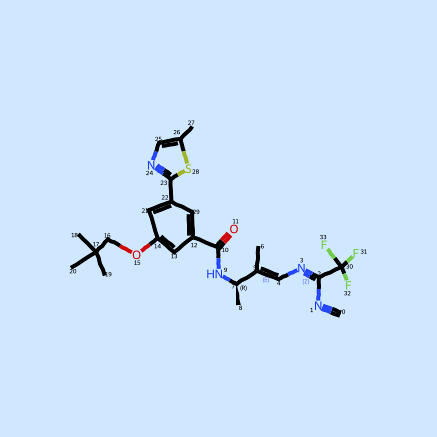 C=N/C(=N\C=C(/C)[C@@H](C)NC(=O)c1cc(OCC(C)(C)C)cc(-c2ncc(C)s2)c1)C(F)(F)F